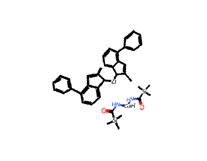 CC1=Cc2c(-c3ccccc3)cccc2[CH]1[Zr][CH]1C(C)=Cc2c(-c3ccccc3)cccc21.C[Si](C)(C)C(=O)[NH][GaH][NH]C(=O)[Si](C)(C)C